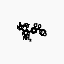 Cc1ncc(-c2nc(N)nc(-c3ccc(C(=O)N4CCOCC4)c(Cl)c3)c2F)n1C(C)C